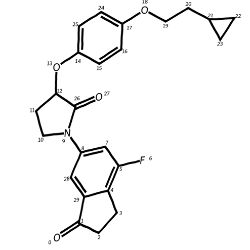 O=C1CCc2c(F)cc(N3CCC(Oc4ccc(OCCC5CC5)cc4)C3=O)cc21